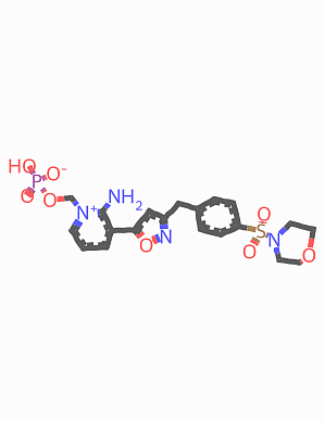 Nc1c(-c2cc(Cc3ccc(S(=O)(=O)N4CCOCC4)cc3)no2)ccc[n+]1COP(=O)([O-])O